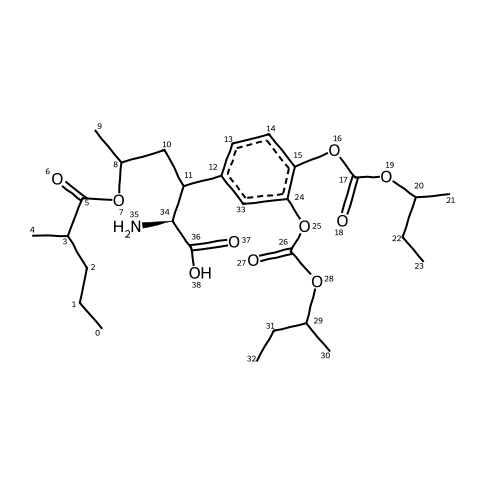 CCCC(C)C(=O)OC(C)CC(c1ccc(OC(=O)OC(C)CC)c(OC(=O)OC(C)CC)c1)[C@H](N)C(=O)O